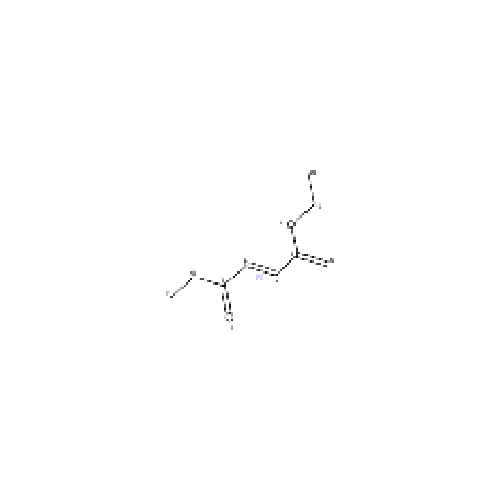 C=C(/C=C/C(=O)CC)OCC